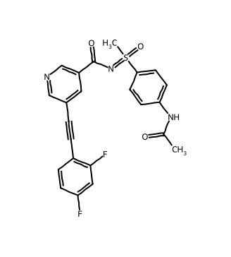 CC(=O)Nc1ccc(S(C)(=O)=NC(=O)c2cncc(C#Cc3ccc(F)cc3F)c2)cc1